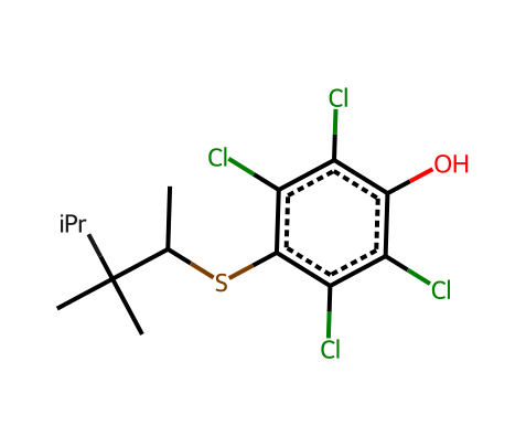 CC(C)C(C)(C)C(C)Sc1c(Cl)c(Cl)c(O)c(Cl)c1Cl